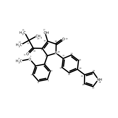 COc1ccccc1C1C(C(=O)C(C)(C)C)=C(O)C(=O)N1c1ccc(-c2cc[nH]c2)cc1